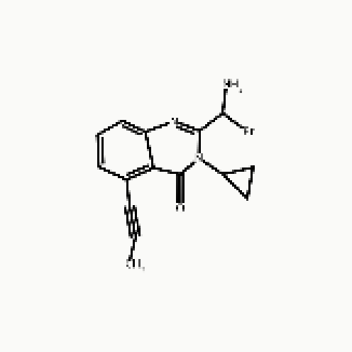 CC#Cc1cccc2nc(C(N)CC)n(C3CC3)c(=O)c12